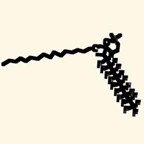 CCCCCCCCCCCCCCCCCCC1(C(C)C(F)(F)C(F)(F)C(F)(F)C(F)(F)C(F)(F)C(F)(F)C(F)(F)C(F)(F)C(F)(F)F)CCC[Si](C)(C)O1